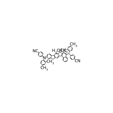 Cc1ccc(C(c2ccc(C#N)cc2)c2cc3c(c4ccccc24)-c2cc4c(cc2C3(C)C)-c2ccc(N(c3ccc(C#N)cc3)c3ccc(C)cc3C)cc2C4)c(C)c1